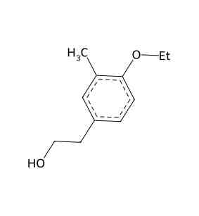 CCOc1ccc(CCO)cc1C